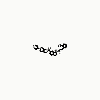 O=C(C=Cc1ccccc1Cl)NC1CCc2ccc(C(=O)N3CCC4(CCN(c5ccncc5)CC4)C3)cc21